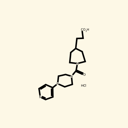 Cl.O=C(O)CCC1CCN(C(=O)N2CCN(c3ccncc3)CC2)CC1